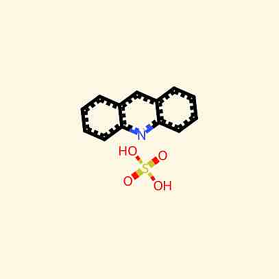 O=S(=O)(O)O.c1ccc2nc3ccccc3cc2c1